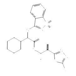 CCc1nnc(C(=O)[C@H](CC)NC(=O)C(NC2=NS(=O)(=O)c3ccccc32)C2CCCCC2)o1